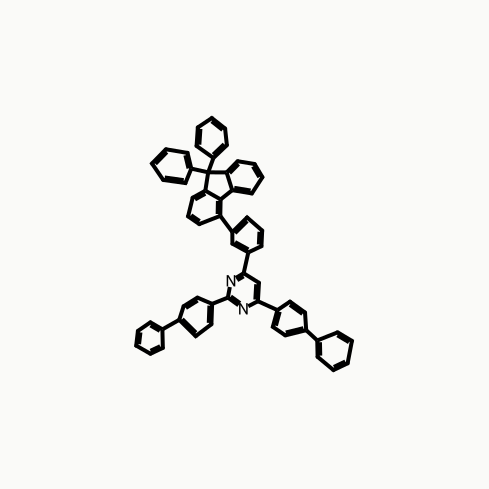 c1ccc(-c2ccc(-c3cc(-c4cccc(-c5cccc6c5-c5ccccc5C6(c5ccccc5)c5ccccc5)c4)nc(-c4ccc(-c5ccccc5)cc4)n3)cc2)cc1